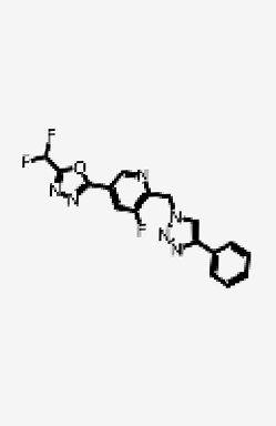 Fc1cc(-c2nnc(C(F)F)o2)cnc1Cn1cc(-c2ccccc2)nn1